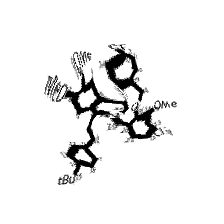 COc1cc2c(cc1OC)C(CCc1ccc(C(C)(C)C)cc1)=[N+](Cc1cccc(OC)c1OCc1ccc(C(F)(F)F)cc1)CC2.[Cl-]